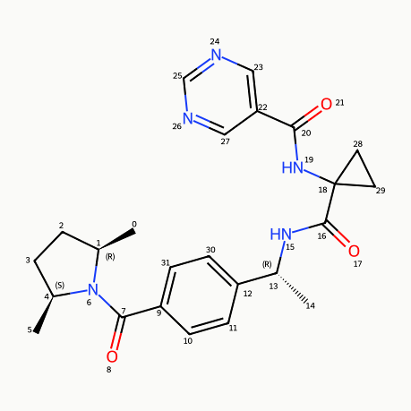 C[C@@H]1CC[C@H](C)N1C(=O)c1ccc([C@@H](C)NC(=O)C2(NC(=O)c3cncnc3)CC2)cc1